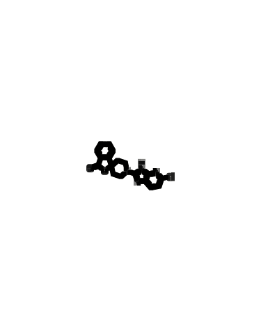 O=C1OC2(CCN(c3nc4ccc(Cl)nc4[nH]3)CC2)c2ccccc21